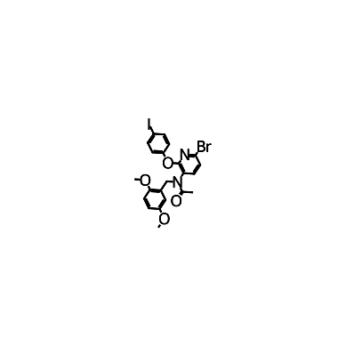 COc1ccc(OC)c(CN(C(C)=O)c2ccc(Br)nc2Oc2ccc(I)cc2)c1